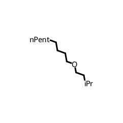 CCCCCCCCCOCCC(C)C